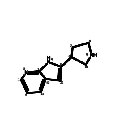 c1cnc2[nH]c(C3CCNC3)cc2c1